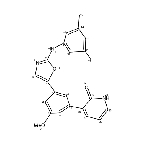 COc1cc(-c2cnc(Nc3cc(C)cc(C)c3)o2)cc(-c2ccc[nH]c2=O)c1